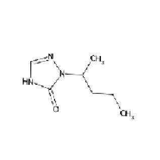 CCCC(C)n1nc[nH]c1=O